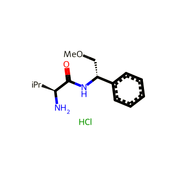 COC[C@@H](NC(=O)[C@@H](N)C(C)C)c1ccccc1.Cl